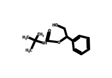 CC(C)(C)NC(=O)OC(CO)c1ccccc1